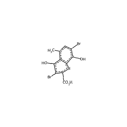 Cc1cc(Br)c(O)c2nc(C(=O)O)c(Br)c(O)c12